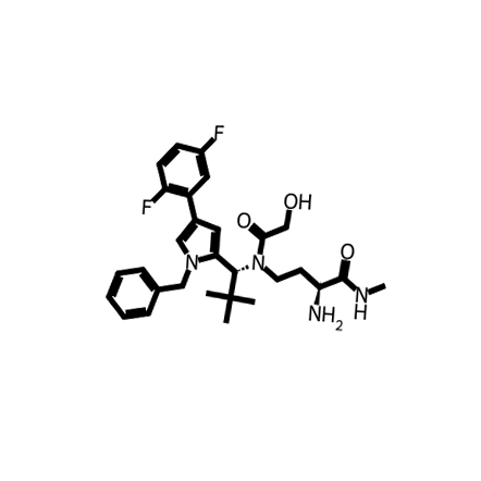 CNC(=O)[C@@H](N)CCN(C(=O)CO)[C@@H](c1cc(-c2cc(F)ccc2F)cn1Cc1ccccc1)C(C)(C)C